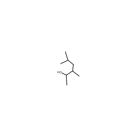 C[C](C)CC(C)C(C)O